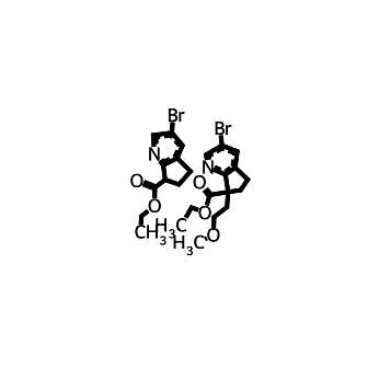 CCOC(=O)C1(CCOC)CCc2cc(Br)cnc21.CCOC(=O)C1CCc2cc(Br)cnc21